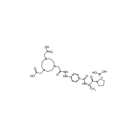 C[C@@H](NC(=O)c1ccc(NNC(=O)CN2CCN(CC(=O)O)CCN(CC(=O)O)CC2)cc1)C(=O)N1CCC[C@H]1B(O)O